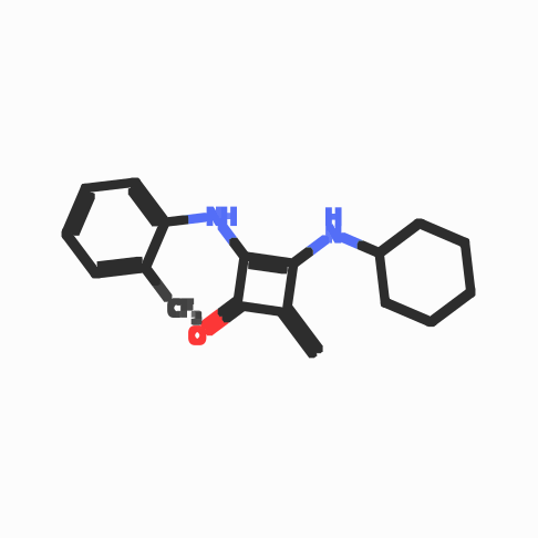 C=C1C(=O)C(Nc2ccccc2C(F)(F)F)=C1NC1CCCCC1